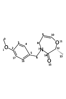 COc1ccc(CN2CC=CO[C@H](C)C2=O)cc1